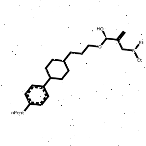 C=C(CN(CC)CC)[C@H](O)OCCCC1CCC(c2ccc(CCCCC)cc2)CC1